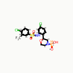 O=[PH](O)N1CCOC(c2ccc(Cl)cc2NS(=O)(=O)c2ccc(Cl)c(C(F)(F)F)c2)C1